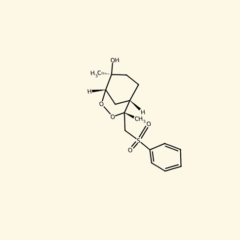 C[C@]1(O)CC[C@H]2C[C@@H]1OO[C@@]2(C)CS(=O)(=O)c1ccccc1